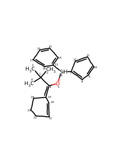 CC(C)(C)C(O[SiH](c1ccccc1)c1ccccc1)=C1C=CCCC1